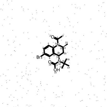 CC(=O)N1c2ccc(Br)cc2[C@H](N(C(=O)O)C(C)(C)C)C[C@@H]1C